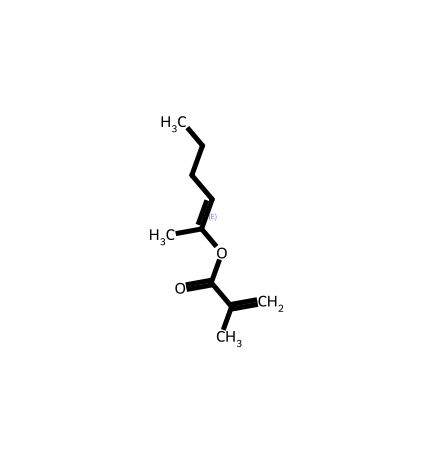 C=C(C)C(=O)O/C(C)=C/CCC